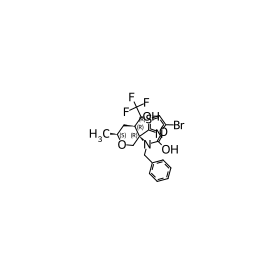 C[C@H]1C[C@@H]([C@@H](O)C(F)(F)F)[C@@](c2nc(Br)cs2)(N(Cc2ccccc2)C(=O)O)CO1